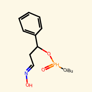 CC(C)CO[PH](=O)OC(CC=NO)c1ccccc1